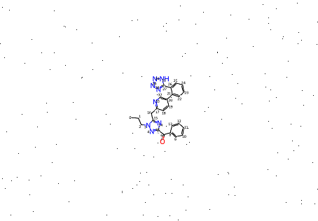 CCCn1nc(C(=O)c2ccccc2)nc1Cc1ccc(-c2ccccc2-c2nnn[nH]2)cn1